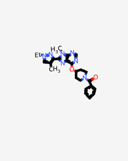 CCn1cc(C)c(-c2nc3c(OC4CCN(C(=O)c5ccccc5)CC4)ncnc3n2C)n1